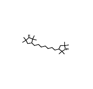 CC1(C)CC(CCCCCCCC2CC(C)(C)NC2(C)C)C(C)(C)N1